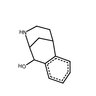 OC1c2ccccc2C2CCNC1C2